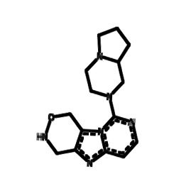 c1cc2nc3c(n2c(N2CCN4CCCC4C2)n1)CONC3